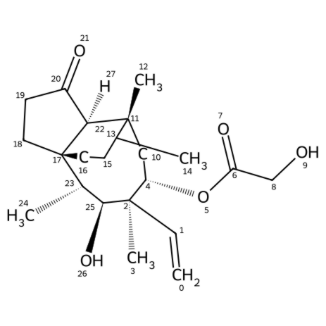 C=C[C@]1(C)[C@@H](OC(=O)CO)C[C@]2(C)C(C)CC[C@]3(CCC(=O)[C@H]32)[C@@H](C)[C@@H]1O